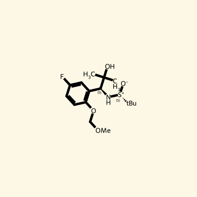 COCOc1ccc(F)cc1[C@H](N[S@+]([O-])C(C)(C)C)C(C)(C)O